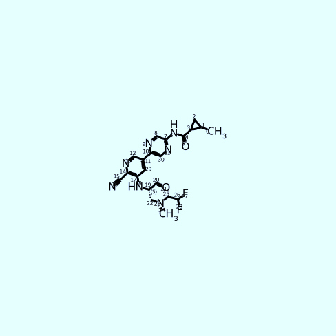 CC1CC1C(=O)Nc1cnc(-c2cnc(C#N)c(N[C@H](C=O)CN(C)CC(F)F)c2)cn1